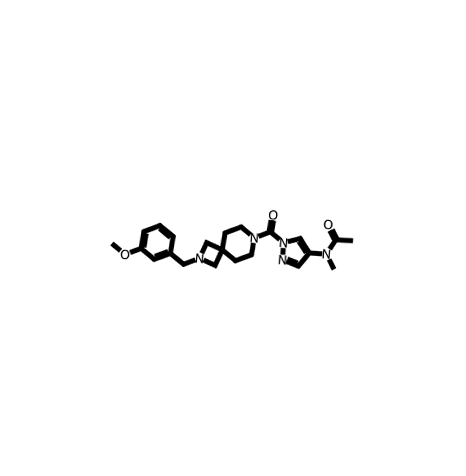 COc1cccc(CN2CC3(CCN(C(=O)n4cc(N(C)C(C)=O)cn4)CC3)C2)c1